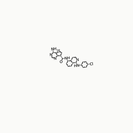 Nc1ncnc2c(C(=O)Nc3cccc4c(Nc5ccc(Cl)cc5)nccc34)csc12